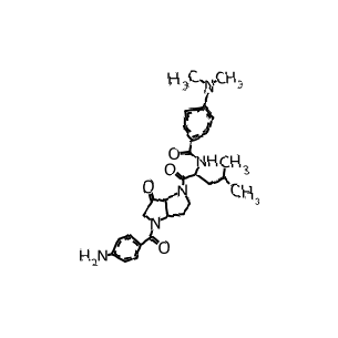 CC(C)CC(NC(=O)c1ccc(N(C)C)cc1)C(=O)N1CCC2C1C(=O)CN2C(=O)c1ccc(N)cc1